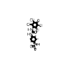 O=C(Nc1ccc(N[SH](=O)=O)cc1)Nc1c(Cl)c(Cl)c(Cl)c(Cl)c1Cl